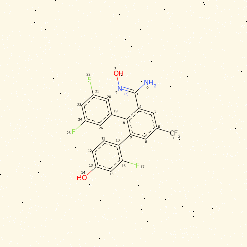 N/C(=N\O)c1cc(C(F)(F)F)cc(-c2ccc(O)cc2F)c1-c1cc(F)cc(F)c1